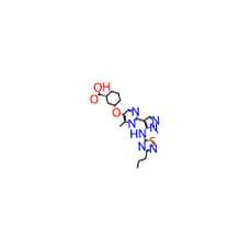 CCCc1nsc(Nc2c(-c3ncc(O[C@H]4CCC[C@H](C(=O)O)C4)c(C)n3)cnn2C)n1